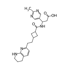 Cc1ncc(C(CC(=O)O)NC(=O)C2CC(CCc3ccc4c(n3)NCCC4)C2)cn1